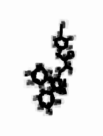 Cc1ccc(CC(=O)C(C)Cc2nnc(-c3ccccc3)n2-c2ccccc2)cc1